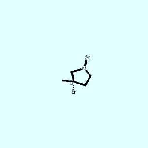 CC[C@@]1(C)CCN(C(C)=O)C1